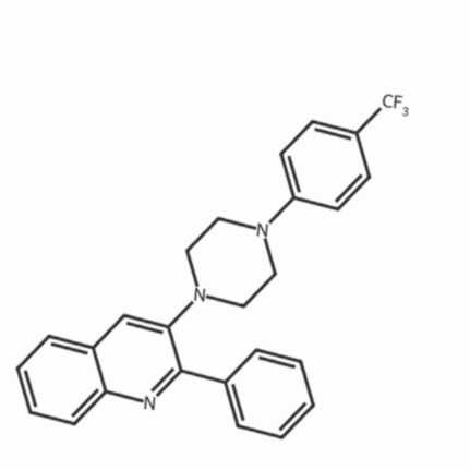 FC(F)(F)c1ccc(N2CCN(c3cc4ccccc4nc3-c3ccccc3)CC2)cc1